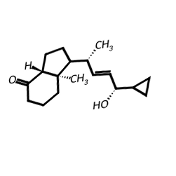 C[C@H](/C=C/[C@@H](O)C1CC1)C1CC[C@H]2C(=O)CCC[C@]12C